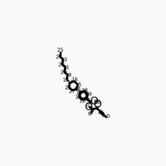 CC#CC(=O)C(C)OC(=O)c1ccc([C@H]2CC[C@H](CCCCCCCC)CC2)cc1